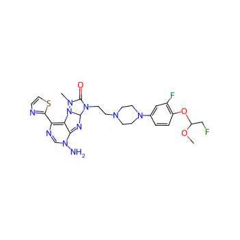 COC(CF)Oc1ccc(N2CCN(CCN3C(=O)N(C)N4C5=C(c6nccs6)N=CN(N)C5=NC34)CC2)cc1F